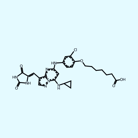 O=C(O)CCCCCCOc1ccc(Nc2cc(NC3CC3)n3ncc(C=C4NC(=O)NC4=O)c3n2)cc1Cl